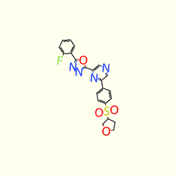 O=S(=O)(c1ccc(-c2cncc(-c3nnc(-c4ccccc4F)o3)n2)cc1)C1CCOC1